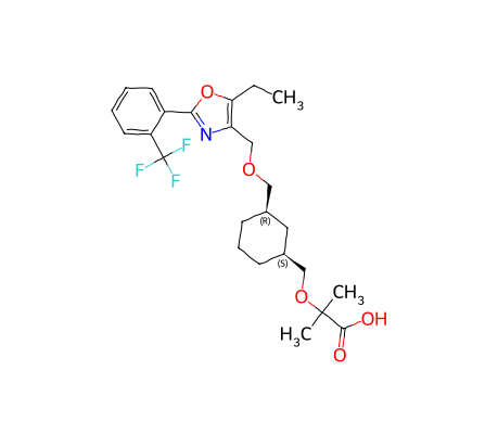 CCc1oc(-c2ccccc2C(F)(F)F)nc1COC[C@@H]1CCC[C@H](COC(C)(C)C(=O)O)C1